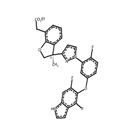 CCOC(=O)Cc1cccc2c1OC[C@]2(C)c1ccn(-c2cc(Oc3c(F)cc4[nH]ccc4c3F)ccc2F)n1